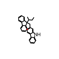 CCC(C)C1(Cc2ccc3c(c2)[nH]c2ccccc23)c2ccccc2-c2ccccc21